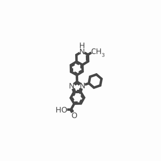 CC1=Cc2cc(-c3nc4cc(C(=O)O)ccc4n3C3CCCCC3)ccc2CN1